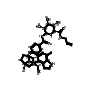 C=CCOC(=O)[C@H]1OC(OC(=O)c2ccc([C@]34CC[C@H](C[C@H](OCC)C3)N4Cc3c(OC)cc(C)c4[nH]ccc34)cc2)[C@H](O)[C@@H](O)[C@@H]1O